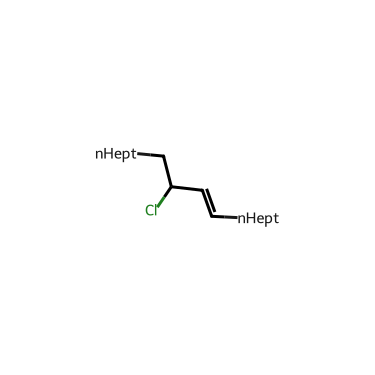 CCCCCCCC=CC(Cl)CCCCCCCC